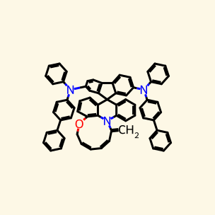 C=C1/C=C\C=C/COc2cccc3c2N1c1ccccc1C31c2cc(N(c3ccccc3)c3ccc(-c4ccccc4)cc3)ccc2-c2ccc(N(c3ccccc3)c3ccc(-c4ccccc4)cc3)cc21